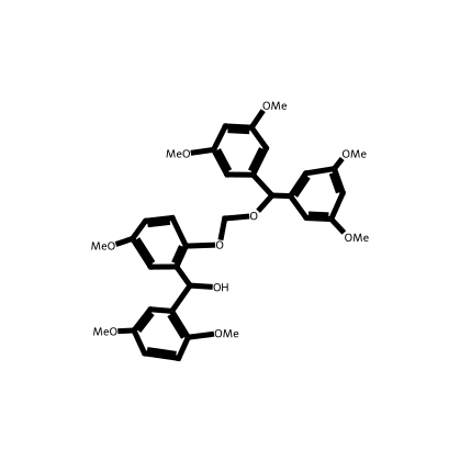 COc1cc(OC)cc(C(OCOc2ccc(OC)cc2C(O)c2cc(OC)ccc2OC)c2cc(OC)cc(OC)c2)c1